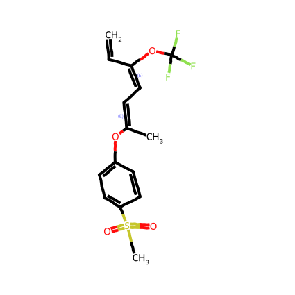 C=C/C(=C\C=C(/C)Oc1ccc(S(C)(=O)=O)cc1)OC(F)(F)F